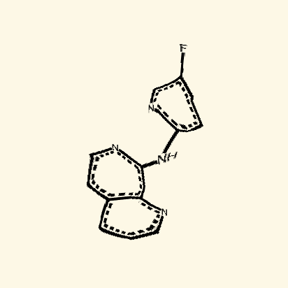 Fc1ccc(Nc2nccc3cccnc23)nc1